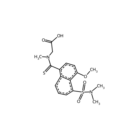 COc1ccc(C(=S)N(C)CC(=O)O)c2cccc(S(=O)(=O)N(C)C)c12